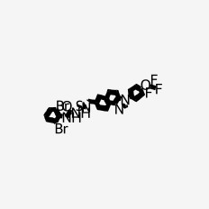 O=C(NS/N=C/c1ccc2c(ccc3c2ncn3-c2ccc(OC(F)(F)F)cc2)c1)Nc1c(Br)cccc1Br